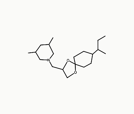 CCC(C)C1CCC2(CC1)OCC(CN1CC(C)CC(C)C1)O2